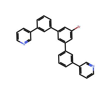 Brc1cc(-c2cccc(-c3cccnc3)c2)cc(-c2cccc(-c3cccnc3)c2)c1